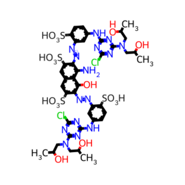 CC(O)CN(CC(C)O)c1nc(Cl)nc(Nc2ccc(S(=O)(=O)O)c(/N=N/c3c(S(=O)(=O)O)cc4cc(S(=O)(=O)O)c(/N=N/c5cc(Nc6nc(Cl)nc(N(CC(C)O)CC(C)O)n6)ccc5S(=O)(=O)O)c(O)c4c3N)c2)n1